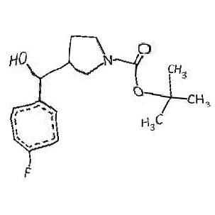 CC(C)(C)OC(=O)N1CCC(C(O)c2ccc(F)cc2)C1